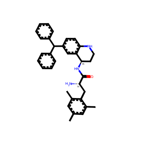 Cc1cc(C)c(C[C@H](N)C(=O)N[C@@H]2CCNc3ccc(C(c4ccccc4)c4ccccc4)cc32)c(C)c1